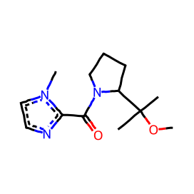 COC(C)(C)C1CCCN1C(=O)c1nccn1C